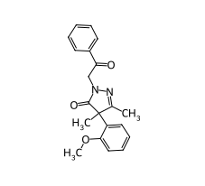 COc1ccccc1C1(C)C(=O)N(CC(=O)c2ccccc2)N=C1C